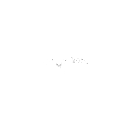 COc1ccc(C(=O)CS[C@H]2C(=O)N(c3ccc(F)cc3)[C@@H]2c2ccc(OCC(=O)NCC(=O)CC(C)[C@@H](N)C(=O)O)cc2)cc1